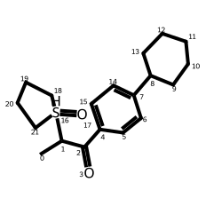 CC(C(=O)c1ccc(C2CCCCC2)cc1)[SH]1(=O)CCCC1